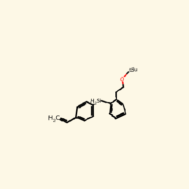 C=Cc1ccc([SiH2]c2ccccc2CCOC(C)(C)C)cc1